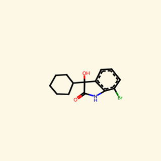 O=C1Nc2c(Br)cccc2C1(O)C1CCCCC1